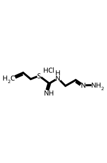 C=CCSC(=N)NCC=NN.Cl